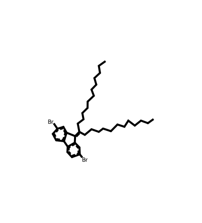 CCCCCCCCCCCCC(CCCCCCCCCCCC)=C1c2cc(Br)ccc2-c2ccc(Br)cc21